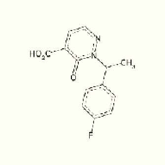 CC(c1ccc(F)cc1)n1nccc(C(=O)O)c1=O